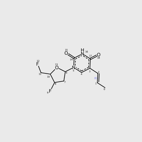 C/C=C/c1cn(C2CC(F)C(CF)O2)c(=O)[nH]c1=O